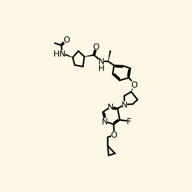 CC(=O)N[C@@H]1CC[C@H](C(=O)N[C@@H](C)c2ccc(O[C@@H]3CCN(c4ncnc(OCC5CC5)c4F)C3)cc2)C1